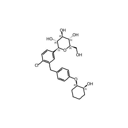 OC[C@H]1O[C@@H](c2ccc(Cl)c(Cc3ccc(O[C@@H]4CCCC[C@@H]4O)cc3)c2)[C@H](O)[C@@H](O)[C@@H]1O